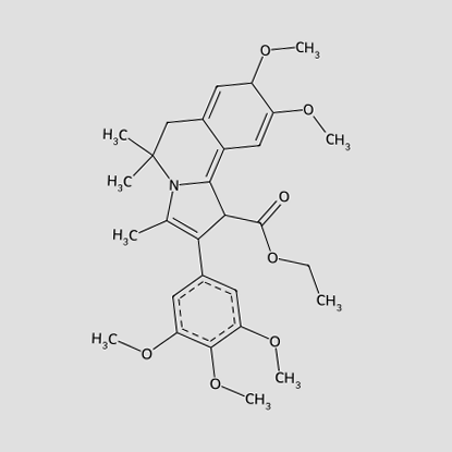 CCOC(=O)C1C(c2cc(OC)c(OC)c(OC)c2)=C(C)N2C1=C1C=C(OC)C(OC)C=C1CC2(C)C